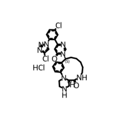 Cl.O=C1NCCCCC[C@H](n2cnc(-c3cc(Cl)ccc3-n3cc(Cl)nn3)cc2=O)c2cccc(c2)N2CCNC[C@H]12